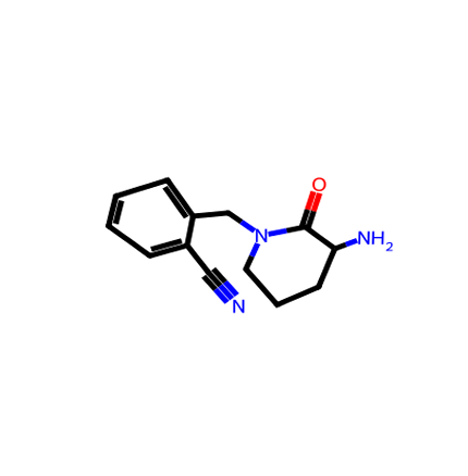 N#Cc1ccccc1CN1CCCC(N)C1=O